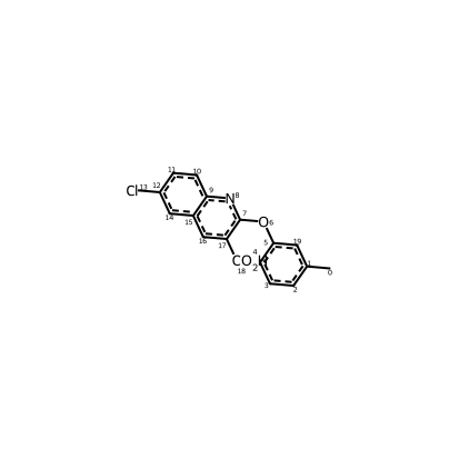 Cc1cccc(Oc2nc3ccc(Cl)cc3cc2C(=O)O)c1